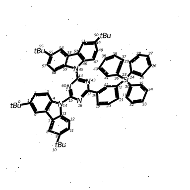 CC(C)(C)c1ccc2c(c1)c1cc(C(C)(C)C)ccc1n2-c1nc(-c2cccc([Si](c3ccccc3)(c3ccccc3)c3ccccc3)c2)nc(-n2c3ccc(C(C)(C)C)cc3c3cc(C(C)(C)C)ccc32)n1